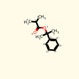 CC(C)C(=O)OC(C)(C)c1ccccc1